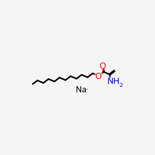 C=C(N)C(=O)OCCCCCCCCCCCC.[Na]